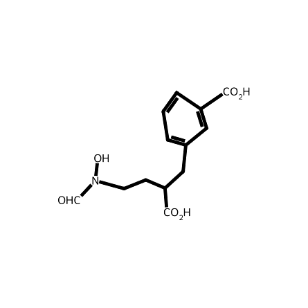 O=CN(O)CCC(Cc1cccc(C(=O)O)c1)C(=O)O